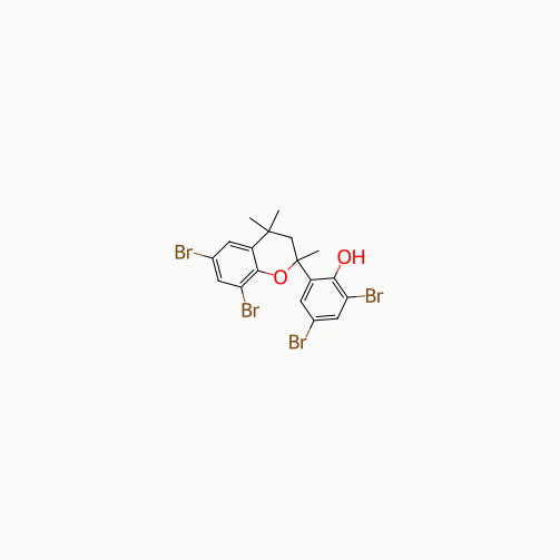 CC1(C)CC(C)(c2cc(Br)cc(Br)c2O)Oc2c(Br)cc(Br)cc21